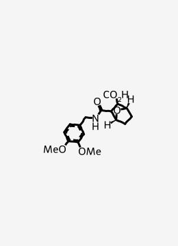 COc1ccc(CNC(=O)C2C(C(=O)O)[C@@H]3CC[C@H]2O3)cc1OC